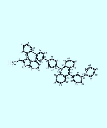 CCc1nc2ccccc2n1-c1ccccc1-c1ccc(-c2ccc(-c3c4ccccc4c(-c4cccc(-c5ccccn5)c4)c4ccccc34)cc2)cc1